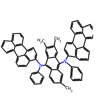 Cc1ccc2c(N(c3ccccc3)c3ccc4c5cccc6cccc(c7cccc3c74)c65)c3cc(C)c(C)cc3c(N(c3ccccc3)c3ccc4c5cccc6cccc(c7cccc3c74)c65)c2c1